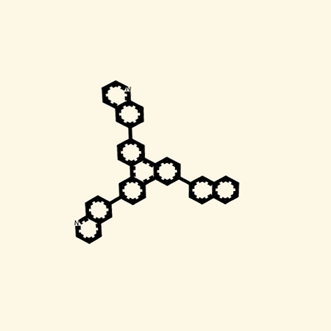 c1ccc2cc(-c3ccc4c(c3)c3ccc(-c5ccc6ncccc6c5)cc3c3ccc(-c5ccc6ncccc6c5)cc43)ccc2c1